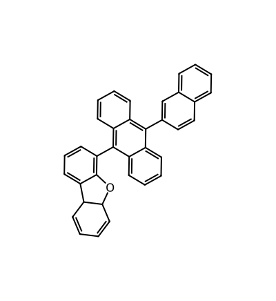 C1=CC2Oc3c(-c4c5ccccc5c(-c5ccc6ccccc6c5)c5ccccc45)cccc3C2C=C1